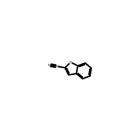 N#[N+]c1cc2ccccc2o1